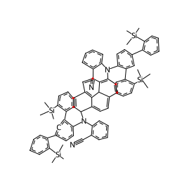 C[Si](C)(C)c1ccccc1-c1ccc(N(C2=C3C=CC4=C5C(=CC=C(C=C2)C35)C(N(c2ccccc2C#N)c2ccc(-c3ccccc3[Si](C)(C)C)cc2-c2ccccc2[Si](C)(C)C)C=C4)c2ccccc2C#N)c(-c2ccccc2[Si](C)(C)C)c1